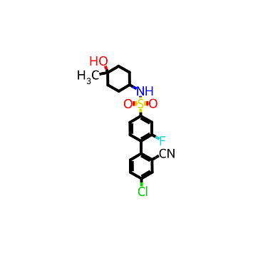 CC1(O)CCC(NS(=O)(=O)c2ccc(-c3ccc(Cl)cc3C#N)c(F)c2)CC1